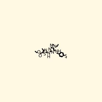 CCOC(=O)c1sc(Nc2nc(NCc3ccc(SC)cc3)c3c(ncn3CC)n2)nc1C